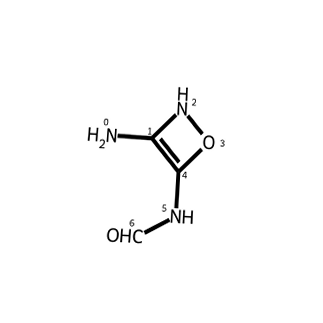 Nc1[nH]oc1NC=O